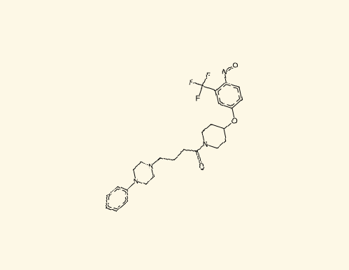 O=Nc1ccc(OC2CCN(C(=O)CCCN3CCN(c4ccccc4)CC3)CC2)cc1C(F)(F)F